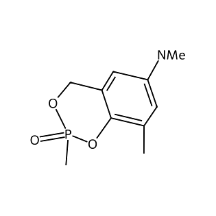 CNc1cc(C)c2c(c1)COP(C)(=O)O2